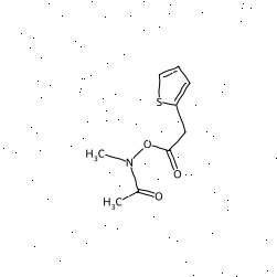 CC(=O)N(C)OC(=O)Cc1cccs1